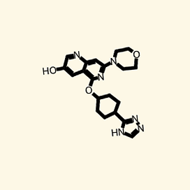 Oc1cnc2cc(N3CCOCC3)nc(OC3CCC(c4nnc[nH]4)CC3)c2c1